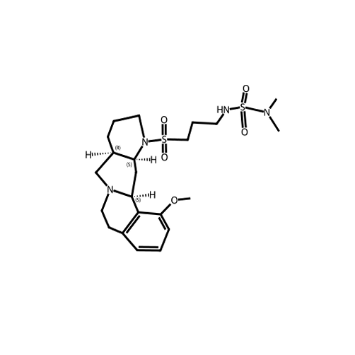 COc1cccc2c1[C@@H]1C[C@H]3[C@H](CCCN3S(=O)(=O)CCCNS(=O)(=O)N(C)C)CN1CC2